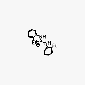 CCc1ccccc1N[PH](=O)Nc1ccccc1CC